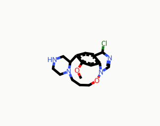 COc1cc2c3cc1C1CNCCN1CCCON2C=NC3Cl